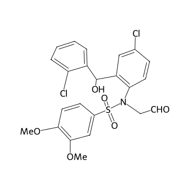 COc1ccc(S(=O)(=O)N(CC=O)c2ccc(Cl)cc2C(O)c2ccccc2Cl)cc1OC